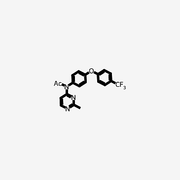 CC(=O)N(c1ccc(Oc2ccc(C(F)(F)F)cc2)cc1)c1ccnc(C)n1